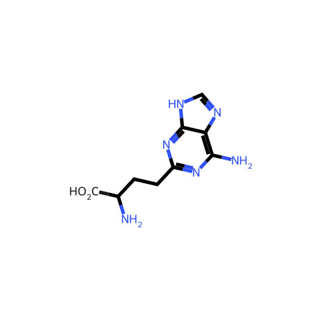 Nc1nc(CCC(N)C(=O)O)nc2[nH]cnc12